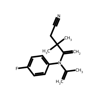 C=C(C)N(C(=C)C(C)(C)CC#N)c1ccc(F)cc1